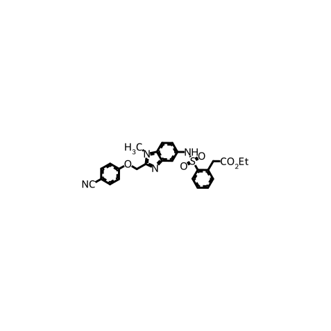 CCOC(=O)Cc1ccccc1S(=O)(=O)Nc1ccc2c(c1)nc(COc1ccc(C#N)cc1)n2C